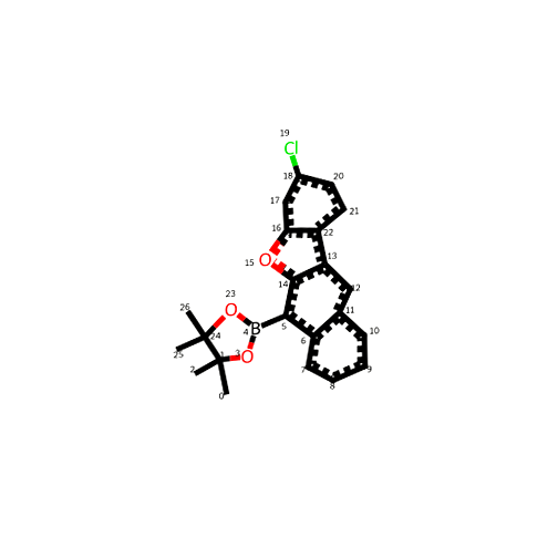 CC1(C)OB(c2c3ccccc3cc3c2oc2cc(Cl)ccc23)OC1(C)C